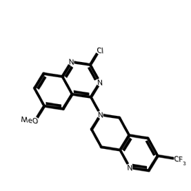 COc1ccc2nc(Cl)nc(N3CCc4ncc(C(F)(F)F)cc4C3)c2c1